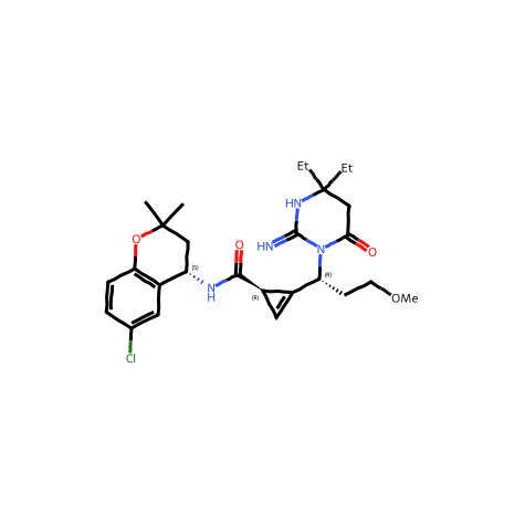 CCC1(CC)CC(=O)N([C@H](CCOC)C2=C[C@H]2C(=O)N[C@H]2CC(C)(C)Oc3ccc(Cl)cc32)C(=N)N1